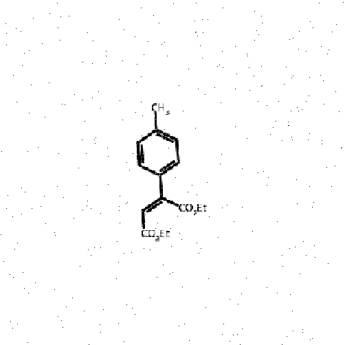 CCOC(=O)/C=C(\C(=O)OCC)c1ccc(C)cc1